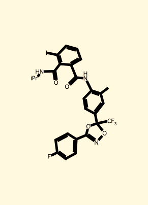 Cc1cc(C2(C(F)(F)F)ON=C(c3ccc(F)cc3)O2)ccc1NC(=O)c1cccc(I)c1C(=O)NC(C)C